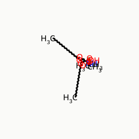 CCCCCCCCCCCCCCCCCCCCCC(=O)Oc1ccc(C(CNC(C)(C)C)CS(=O)(=O)O)cc1OC(=O)CCCCCCCCCCCCCCCCCCCCC